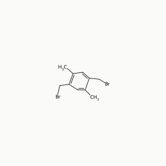 Cc1cc(CBr)c(C)cc1CBr